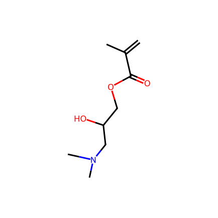 C=C(C)C(=O)OCC(O)CN(C)C